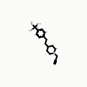 C#CCN1CCC(CCc2ccc(C(F)(F)F)cc2)CC1